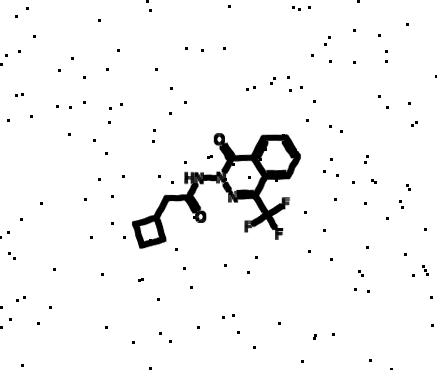 O=C(CC1CCC1)Nn1nc(C(F)(F)F)c2ccccc2c1=O